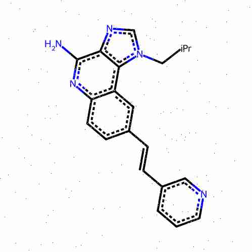 CC(C)Cn1cnc2c(N)nc3ccc(C=Cc4cccnc4)cc3c21